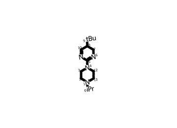 CC(C)N1CCN(C2=NCC(C(C)(C)C)C=N2)CC1